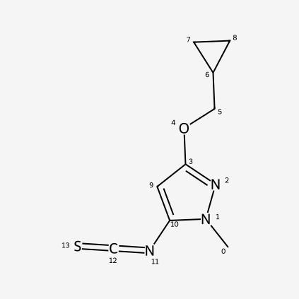 Cn1nc(OCC2CC2)cc1N=C=S